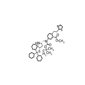 COC(=O)c1cc(N(C[C@@H]2C[C@H](SC(c3ccccc3)(c3ccccc3)c3ccccc3)CN2)C(=O)OC(C)(C)C)ccc1CCc1nccs1